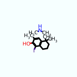 CNC.Cc1cc2c(c(I)c1O)CCCC2(C)C